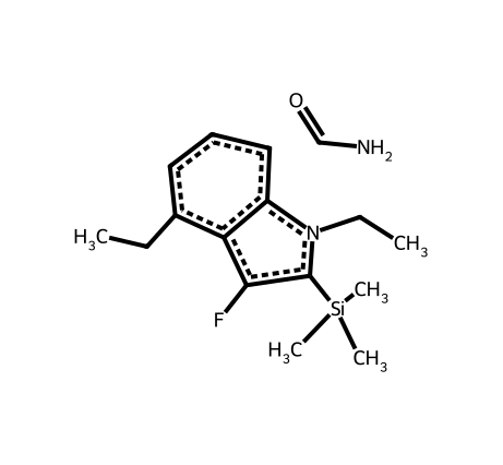 CCc1cccc2c1c(F)c([Si](C)(C)C)n2CC.NC=O